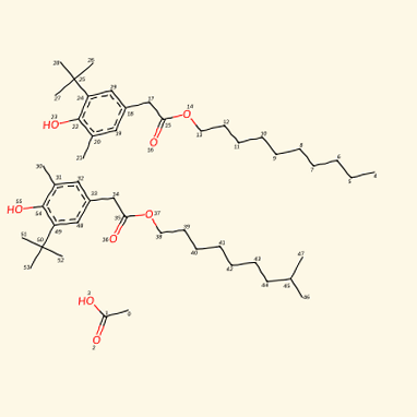 CC(=O)O.CCCCCCCCCCOC(=O)Cc1cc(C)c(O)c(C(C)(C)C)c1.Cc1cc(CC(=O)OCCCCCCCC(C)C)cc(C(C)(C)C)c1O